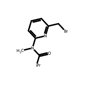 CC(C)C(=O)N(C)c1cccc(CBr)n1